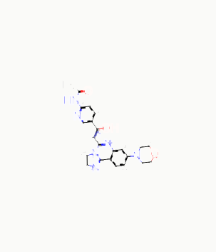 CC(=O)Nc1ccc(/C(O)=C/C2=Nc3cc(N4CCOCC4)ccc3C3=NCCN23)cn1